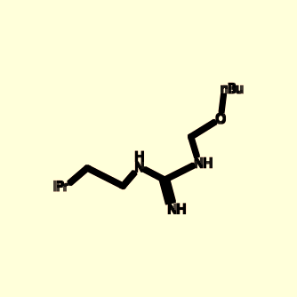 CCCCOCNC(=N)NCCC(C)C